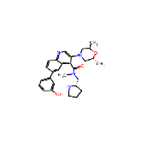 C[C@@H]1CN(c2cnc3ccc(-c4cccc(O)c4)cc3c2C(=O)N(C)C[C@@H]2CCCN2)C[C@@H](C)O1